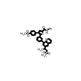 CC(C)NC(=O)c1cc(-c2ccc(S(C)(=O)=O)cc2)c(-c2cccc(-c3cc(C(C)CS(C)(=O)=O)cc4cccnc34)c2)s1